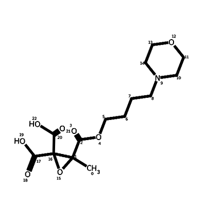 CC1(C(=O)OCCCCN2CCOCC2)OC1(C(=O)O)C(=O)O